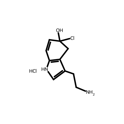 Cl.NCCc1c[nH]c2c1CC(O)(Cl)C=C2